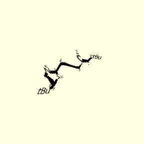 CC(C)(C)CSCCc1ncc(C(C)(C)C)s1